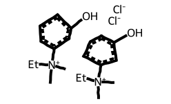 CC[N+](C)(C)c1cccc(O)c1.CC[N+](C)(C)c1cccc(O)c1.[Cl-].[Cl-]